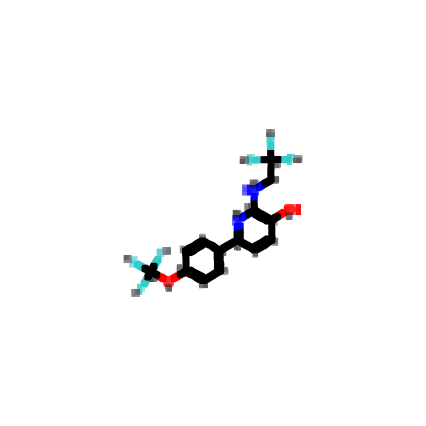 Oc1ccc(-c2ccc(OC(F)(F)F)cc2)nc1NCC(F)(F)F